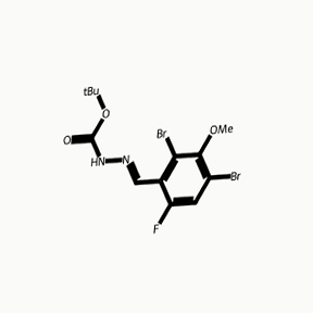 COc1c(Br)cc(F)c(C=NNC(=O)OC(C)(C)C)c1Br